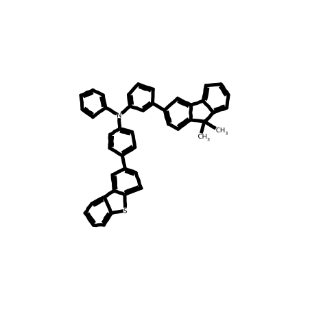 CC1(C)c2ccccc2-c2cc(-c3cccc(N(c4ccccc4)c4ccc(-c5ccc6sc7ccccc7c6c5)cc4)c3)ccc21